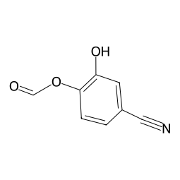 N#Cc1ccc(OC=O)c(O)c1